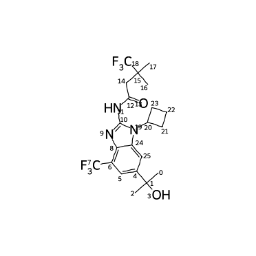 CC(C)(O)c1cc(C(F)(F)F)c2nc(NC(=O)CC(C)(C)C(F)(F)F)n(C3CCC3)c2c1